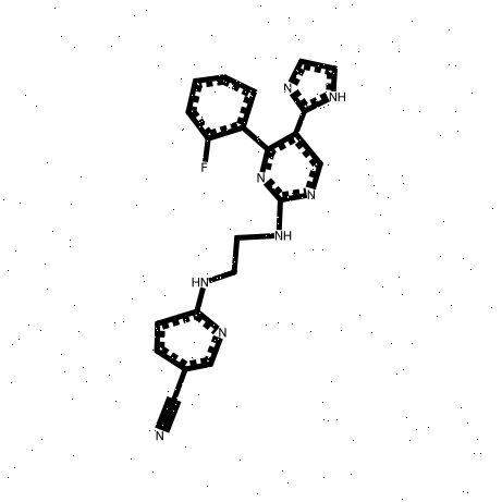 N#Cc1ccc(NCCNc2ncc(-c3ncc[nH]3)c(-c3ccccc3F)n2)nc1